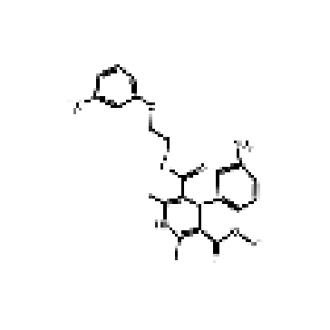 CC1=C(C(=O)OCCOc2cccc(C(F)(F)F)c2)C(c2cccc([N+](=O)[O-])c2)C(C(=O)OC(C)C)=C(C)N1